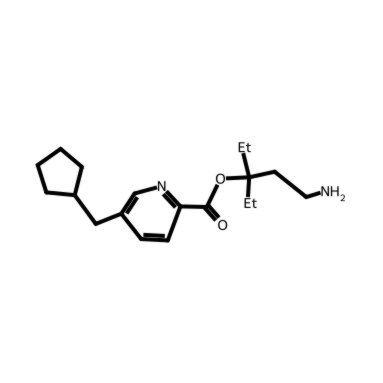 CCC(CC)(CCN)OC(=O)c1ccc(CC2CCCC2)cn1